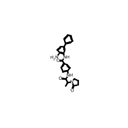 CC(C(=O)Nc1ccc(C(=O)Nc2cc(-c3ccccc3)ccc2N)cc1)N1CCCC1=O